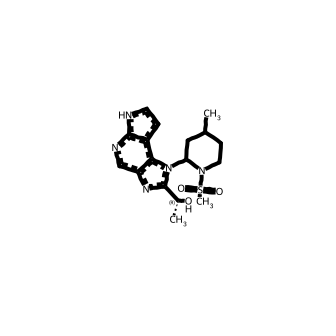 CC1CCN(S(C)(=O)=O)C(n2c([C@@H](C)O)nc3cnc4[nH]ccc4c32)C1